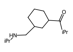 CC(C)NCC1CCCC(C(=O)C(C)C)C1